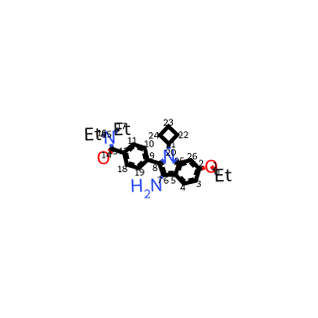 CCOc1ccc2c(N)c(-c3ccc(C(=O)N(CC)CC)cc3)n(C3CCC3)c2c1